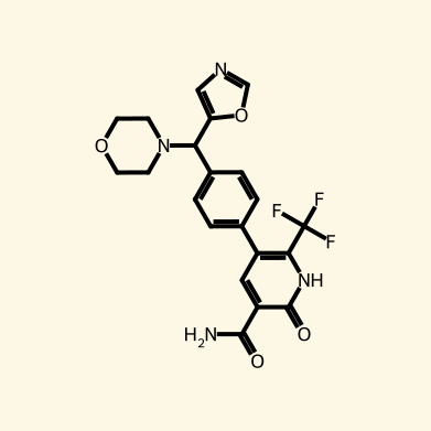 NC(=O)c1cc(-c2ccc(C(c3cnco3)N3CCOCC3)cc2)c(C(F)(F)F)[nH]c1=O